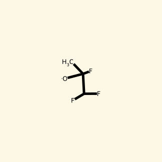 CC([O])(F)C(F)F